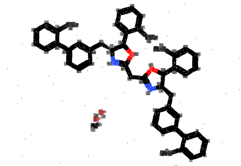 COc1ccccc1-c1cccc(C[C@H]2N=C(CC3=N[C@H](Cc4cccc(-c5ccccc5OC)c4)C(c4ccccc4OC)O3)OC2c2ccccc2OC)c1.[Br-].[Br-].[Pd+2]